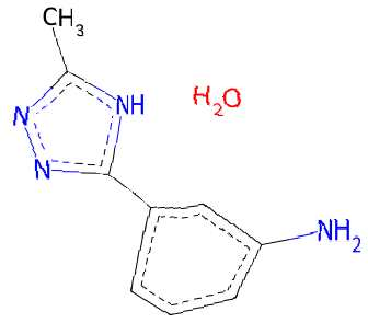 Cc1nnc(-c2cccc(N)c2)[nH]1.O